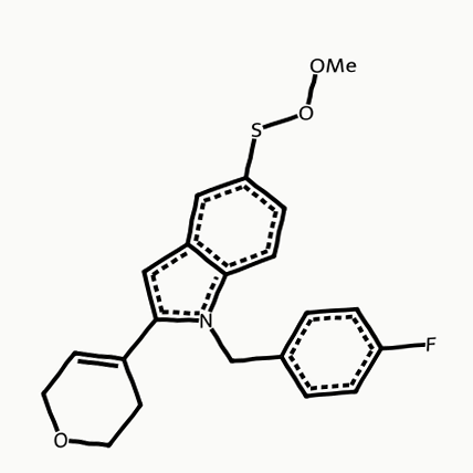 COOSc1ccc2c(c1)cc(C1=CCOCC1)n2Cc1ccc(F)cc1